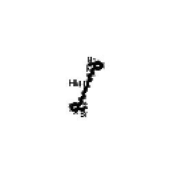 Brc1cnc(CCCCCCCCCCc2ncc(Br)c3ccccc23)c2ccccc12.I.I